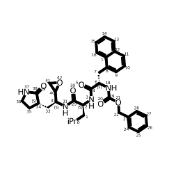 CC(C)C[C@H](NC(=O)[C@H](Cc1cccc2ccccc12)NC(=O)OCc1ccccc1)C(=O)N[C@@H](C[C@@H]1CCNC1=O)C1CO1